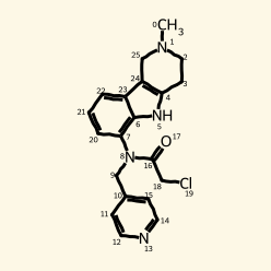 CN1CCc2[nH]c3c(N(Cc4ccncc4)C(=O)CCl)cccc3c2C1